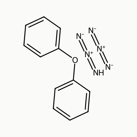 [N-]=[N+]=N.[N-]=[N+]=[N-].c1ccc(Oc2ccccc2)cc1